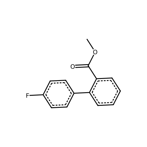 COC(=O)c1ccccc1-c1ccc(F)cc1